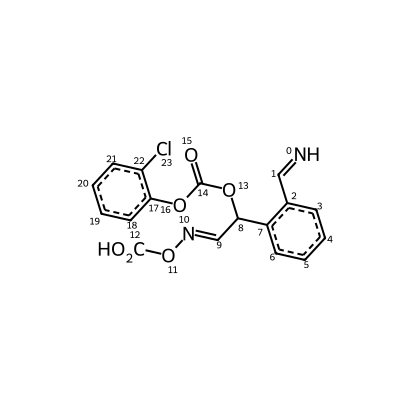 N=Cc1ccccc1C(C=NOC(=O)O)OC(=O)Oc1ccccc1Cl